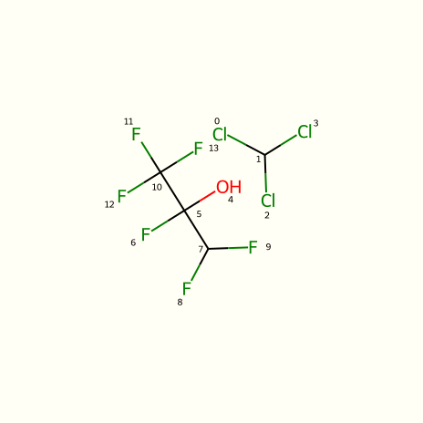 ClC(Cl)Cl.OC(F)(C(F)F)C(F)(F)F